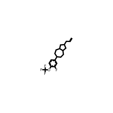 C=CCC1CC2CCC(c3ccc(OC(F)(F)F)c(F)c3)CCC2C1